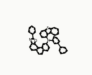 c1ccc(-c2cccc(N(c3ccc4ccc5ccc6nc(-c7ccccc7)oc6c5c4c3)c3cccc4sc5ccccc5c34)c2)cc1